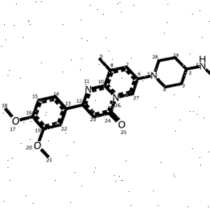 CNC1CCN(c2cc(C)c3nc(-c4ccc(OC)c(OC)c4)cc(=O)n3c2)CC1